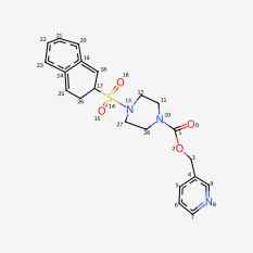 O=C(OCc1cccnc1)N1CCN(S(=O)(=O)C2C=c3ccccc3=CC2)CC1